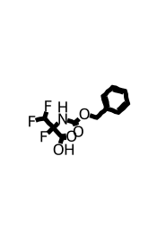 O=C(NC(F)(C(=O)O)C(F)F)OCc1ccccc1